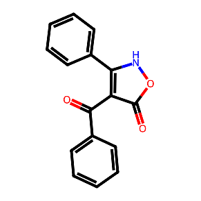 O=C(c1ccccc1)c1c(-c2ccccc2)[nH]oc1=O